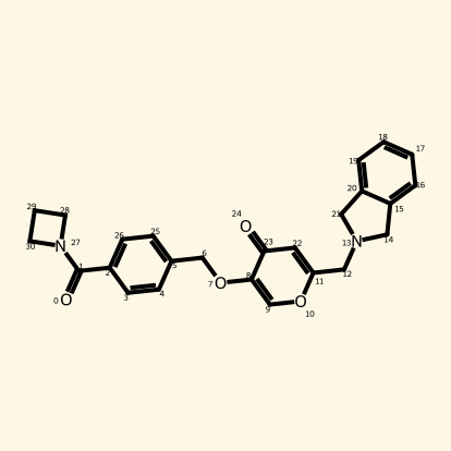 O=C(c1ccc(COc2coc(CN3Cc4ccccc4C3)cc2=O)cc1)N1CCC1